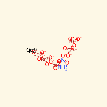 O=[N+]([O-])[O-].[Ce+4].[NH4+].[Na+].[O-][Br+2]([O-])[O-].[O-][Br+2]([O-])[O-].[O-][Br+2]([O-])[O-].[O-][Br+2]([O-])[O-].[O-][Br+2]([O-])[O-]